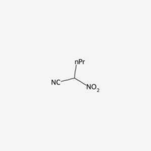 CCCC(C#N)[N+](=O)[O-]